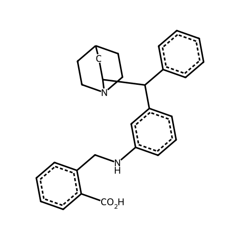 O=C(O)c1ccccc1CNc1cccc(C(c2ccccc2)C2CC3CCN2CC3)c1